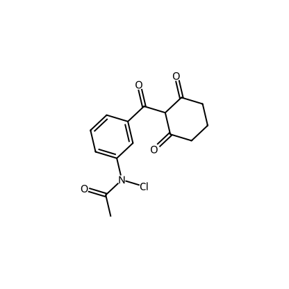 CC(=O)N(Cl)c1cccc(C(=O)C2C(=O)CCCC2=O)c1